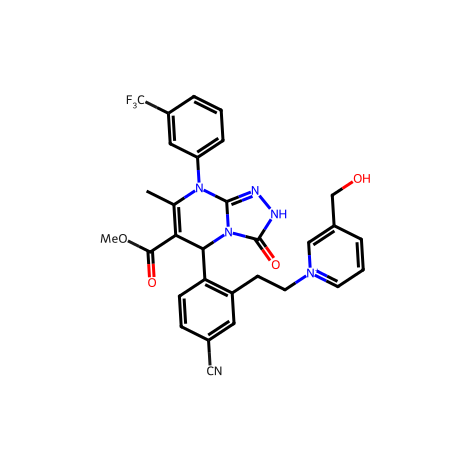 COC(=O)C1=C(C)N(c2cccc(C(F)(F)F)c2)c2n[nH]c(=O)n2C1c1ccc(C#N)cc1CC[n+]1cccc(CO)c1